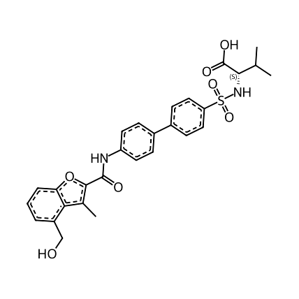 Cc1c(C(=O)Nc2ccc(-c3ccc(S(=O)(=O)N[C@H](C(=O)O)C(C)C)cc3)cc2)oc2cccc(CO)c12